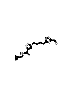 O=Cc1nnc(CCCCn2cc(C(=O)NCC3CC3)nn2)s1